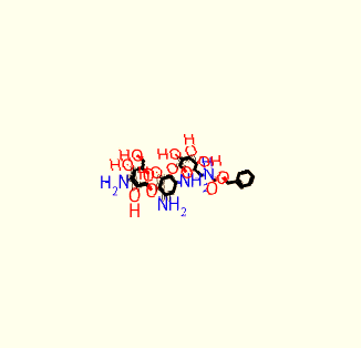 NC1C[C@@H](N)[C@@H](OC2OC(CO)[C@@H](O)[C@@H](N)[C@@H]2O)[C@H](O)C1O[C@H]1OC(CNC(=O)OCc2ccccc2)C(O)[C@@H](O)[C@@H]1O